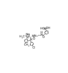 Cc1ccc2c(c1)C(c1ccc(Cl)cc1)=N[C@@H](CC(=O)NCCCNC(=O)c1cccc(B(O)O)c1)c1nnc(C)n1-2